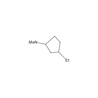 CCC1CCC(NC)C1